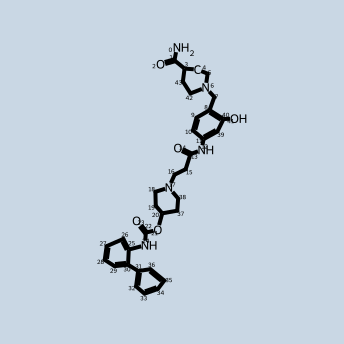 NC(=O)C1CCN(Cc2ccc(NC(=O)CCN3CCC(OC(=O)Nc4ccccc4-c4ccccc4)CC3)cc2O)CC1